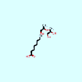 CC(O)CO.CC(O)CO.CCCCCCCC(=O)O